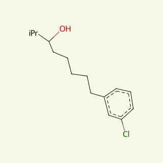 CC(C)C(O)CCCCCc1cccc(Cl)c1